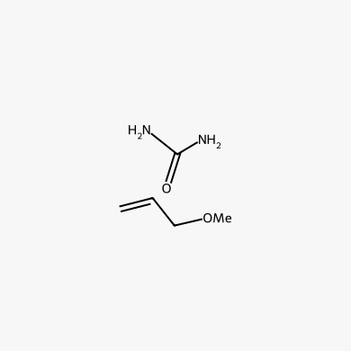 C=CCOC.NC(N)=O